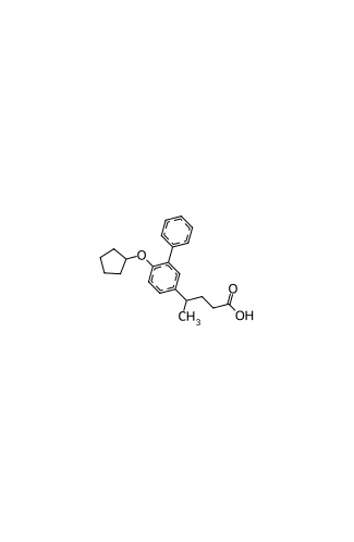 CC(CCC(=O)O)c1ccc(OC2CCCC2)c(-c2ccccc2)c1